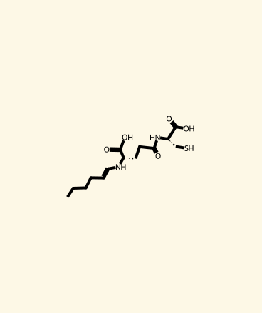 CCCCC=CN[C@@H](CCC(=O)N[C@@H](CS)C(=O)O)C(=O)O